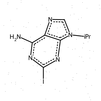 CC(C)n1cnc2c(N)nc(I)nc21